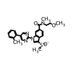 COCCN(C)C(=O)c1ccc2c([S+](C)[O-])cn(-c3ncc(-c4ccccc4C)cn3)c2c1